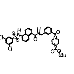 CC(C)(C)OC(=O)N1CCN(C(=O)c2cccc(CNC(=O)c3cccc4c(NS(=O)(=O)c5cc(Cl)cc(Cl)c5)cccc34)c2)CC1